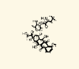 COc1cccc2c1C(=O)c1c(O)c3c(c(O)c1C2=O)C[C@@](O)(C(=O)CO)C[C@@H]3O[C@H]1C[C@H](NC(=O)[C@@H](N)CC(C)C)[C@H](O)[C@H](C)O1